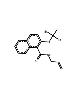 C=CCNC(=O)c1c(OC(C)(CC)CC)ccc2ccccc12